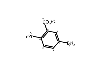 Bc1ccc(CCC)c(C(=O)OCC)c1